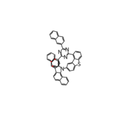 c1ccc(-c2nc(-c3ccc4ccccc4c3)nc(-c3cccc4sc5ccc(-n6c7cc8ccccc8cc7c7ccc8ccccc8c76)cc5c34)n2)cc1